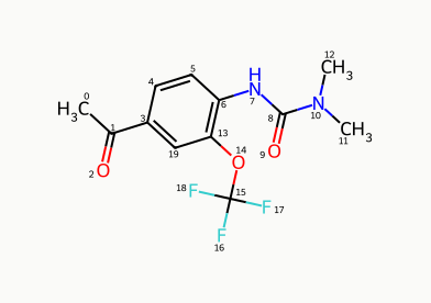 CC(=O)c1ccc(NC(=O)N(C)C)c(OC(F)(F)F)c1